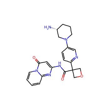 N[C@@H]1CCCN(c2ccc(C3(C(=O)Nc4cc(=O)n5ccccc5n4)COC3)nc2)C1